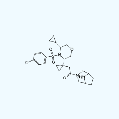 O=C(CC1([C@H]2COC[C@@H](C3CC3)N2S(=O)(=O)c2ccc(Cl)cc2)CC1)N1CC2CCC(C1)N2